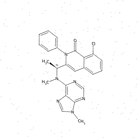 C[C@@H](c1cc2cccc(Cl)c2c(=O)n1-c1ccccc1)N(C)c1ncnc2c1ncn2C